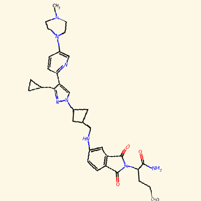 CN1CCN(c2ccc(-c3cn(C4CC(CNc5ccc6c(c5)C(=O)N(C(CCC=O)C(N)=O)C6=O)C4)nc3C3CC3)nc2)CC1